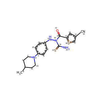 CC1CCN(c2ccc(NN(C(=O)c3cc(C#N)cs3)C(N)=S)cc2)CC1